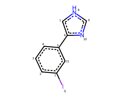 Ic1cccc(-c2[c][nH]cn2)c1